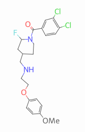 COc1ccc(OCCNCC2CCN(C(=O)c3ccc(Cl)c(Cl)c3)C(F)C2)cc1